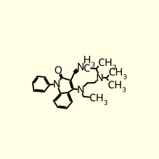 CCN(CCN(C(C)C)C(C)C)c1c(C#N)c(=O)n(-c2ccccc2)c2ccccc12